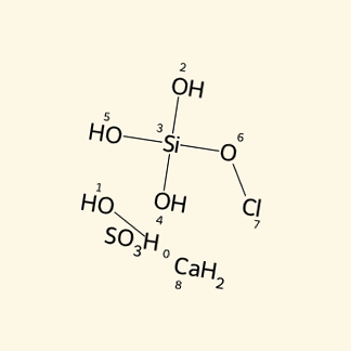 O=S(=O)(O)O.O[Si](O)(O)OCl.[CaH2]